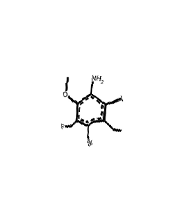 COc1c(N)c(I)c(C)c(Br)c1F